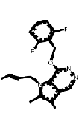 C/C=C/Cn1c(C)c(C)c2cnnc(OCc3c(F)cccc3F)c21